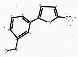 O=C(O)c1ccc(-c2cccc(CO)c2)o1